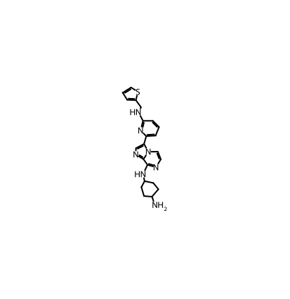 NC1CCC(Nc2nccn3c(-c4cccc(NCc5cccs5)n4)cnc23)CC1